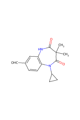 CC1(C)C(=O)Nc2cc(C=O)ccc2N(C2CC2)C1=O